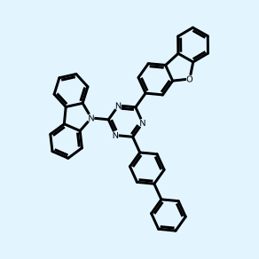 c1ccc(-c2ccc(-c3nc(-c4ccc5c(c4)oc4ccccc45)nc(-n4c5ccccc5c5ccccc54)n3)cc2)cc1